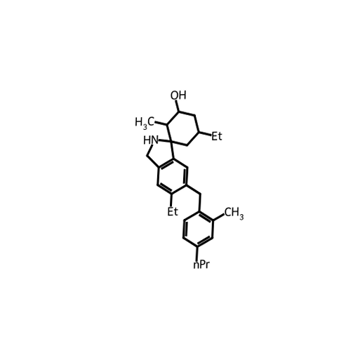 CCCc1ccc(Cc2cc3c(cc2CC)CNC32CC(CC)CC(O)C2C)c(C)c1